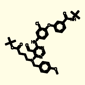 COc1ccc(CN(CCCC(=O)OC(C)(C)C)c2ncnc(Nc3ccc(Oc4cccc(C(=O)NC(C)(C)C)c4)c(Cl)c3)c2C=O)cc1